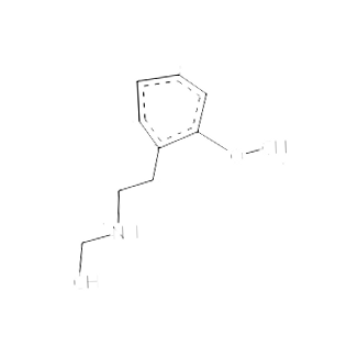 CCNCCc1ccccc1OC